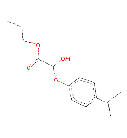 CCCOC(=O)C(O)Oc1ccc(C(C)C)cc1